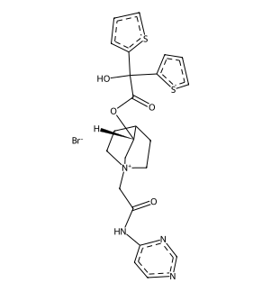 O=C(C[N+]12CCC(CC1)[C@@H](OC(=O)C(O)(c1cccs1)c1cccs1)C2)Nc1ccncn1.[Br-]